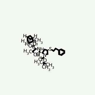 CC(C)[C@H](NC(=O)[C@@H]1C[C@@H](SCCc2ccccc2)CN1C(=O)OC(C)(C)C)B1O[C@@H]2C[C@@H]3C[C@@H](C3(C)C)[C@]2(C)O1